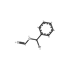 O=COC(Br)c1ccccc1